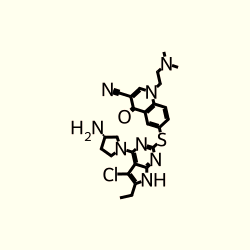 CCc1[nH]c2nc(Sc3ccc4c(c3)c(=O)c(C#N)cn4CCN(C)C)nc(N3CC[C@H](N)C3)c2c1Cl